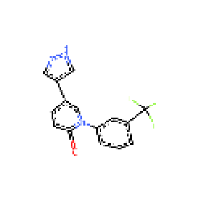 O=c1ccc(-c2cn[nH]c2)cn1-c1cccc(C(F)(F)F)c1